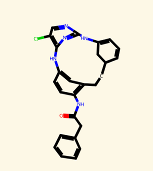 O=C(Cc1ccccc1)Nc1ccc2cc1CCC1C=CC=C(C1)Nc1ncc(Cl)c(n1)N2